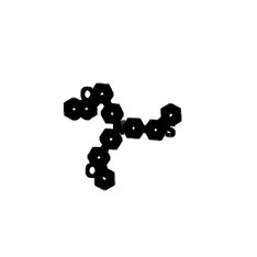 c1ccc2c(c1)ccc1c2oc2cccc(-c3ccc(N(c4ccc(-c5ccc6oc7ccccc7c6c5)cc4)c4ccc(-c5ccc6sc7ccccc7c6c5)cc4)cc3)c21